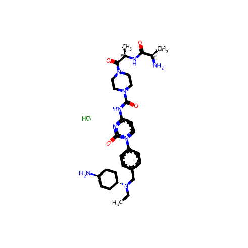 CCN(Cc1ccc(-n2ccc(NC(=O)N3CCN(C(=O)[C@@H](C)NC(=O)[C@@H](C)N)CC3)nc2=O)cc1)[C@H]1CC[C@H](N)CC1.Cl